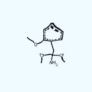 COc1ccccc1C(N)(OC)OC